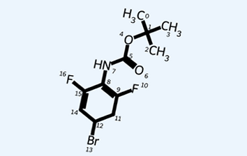 CC(C)(C)OC(=O)NC1=C(F)CC(Br)C=C1F